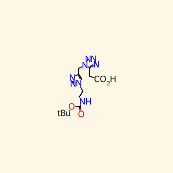 CC(C)(C)OC(=O)NCCn1cc(Cn2nnnc2CC(=O)O)nn1